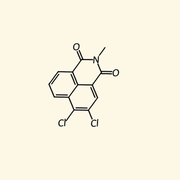 CN1C(=O)c2cccc3c(Cl)c(Cl)cc(c23)C1=O